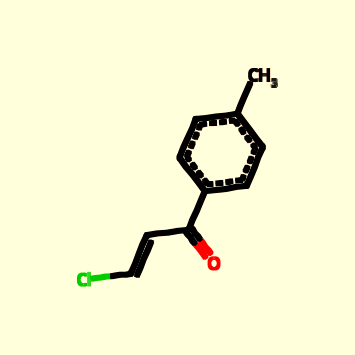 Cc1ccc(C(=O)C=CCl)cc1